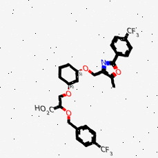 Cc1oc(-c2ccc(C(F)(F)F)cc2)nc1CO[C@H]1CCC[C@@H](OCC(OCc2ccc(C(F)(F)F)cc2)C(=O)O)C1